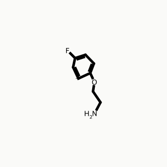 NCCOc1[c]cc(F)cc1